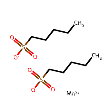 CCCCCS(=O)(=O)[O-].CCCCCS(=O)(=O)[O-].[Mn+2]